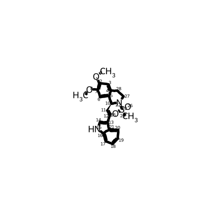 COc1cc2c(cc1OC)[C@H](/C=C/c1c[nH]c3ccccc13)N(S(C)(=O)=O)CC2